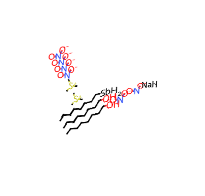 CCCCCCCCO.CCCCCCCCO.CCCCCCC[CH2][SbH2].C[S+](C)C.C[S+](C)C.O=N[O-].O=N[O-].O=N[O-].O=N[O-].O=N[O-].O=N[O-].[NaH]